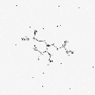 COC(=O)CCN(CCC(=O)OC)[C@@H](CO)[C@H](C)O